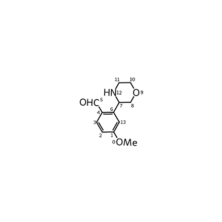 COc1ccc(C=O)c(C2COCCN2)c1